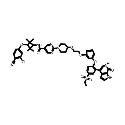 CCS(=O)(=O)c1ccc(Oc2cccc(OCCOC3CCN(c4ncc(C(=O)NC5C(C)(C)C(Oc6ccc(C#N)c(Cl)c6)C5(C)C)cn4)CC3)c2)c(-c2cn(C)c(=O)c3[nH]ccc23)c1